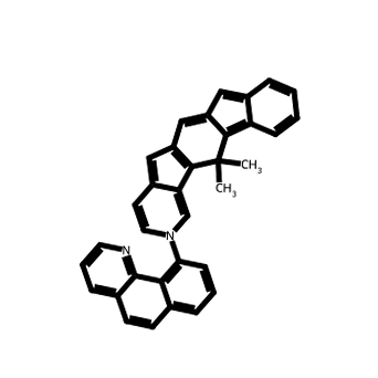 CC1(C)C2=c3ccccc3=CC2=Cc2cc3ccn(-c4cccc5ccc6cccnc6c45)cc-3c21